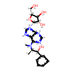 C[C@H]([C@@H](O)c1ccccc1)N(C)c1ncnc2c1ncn2[C@@H]1O[C@H](CO)C(O)[C@@H]1O